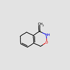 C=C1NOCC2=C1CCC=C2